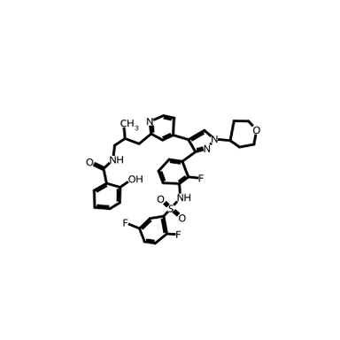 CC(CNC(=O)c1ccccc1O)Cc1cc(-c2cn(C3CCOCC3)nc2-c2cccc(NS(=O)(=O)c3cc(F)ccc3F)c2F)ccn1